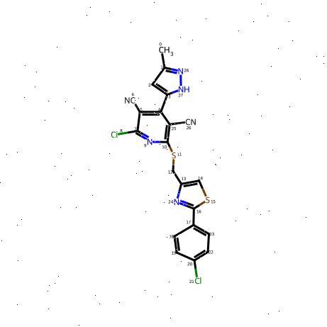 Cc1cc(-c2c(C#N)c(Cl)nc(SCc3csc(-c4ccc(Cl)cc4)n3)c2C#N)[nH]n1